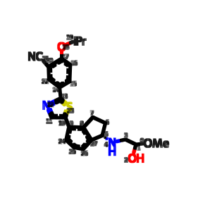 COC(O)CN[C@H]1CCc2c(-c3cnc(-c4ccc(OC(C)C)c(C#N)c4)s3)cccc21